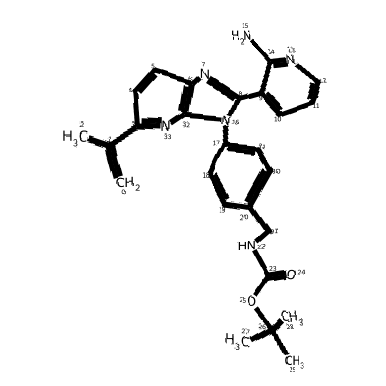 C=C(C)c1ccc2nc(-c3cccnc3N)n(-c3ccc(CNC(=O)OC(C)(C)C)cc3)c2n1